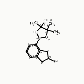 CC1(C)OB(c2cccc3c2CC(F)C3)OC1(C)C